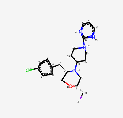 Clc1ccc(C[C@H]2CO[C@@H](CI)CN2C2CCN(c3ncccn3)CC2)cc1